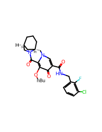 CCCCOc1c2n(cc(C(=O)NCc3cccc(Cl)c3F)c1=O)C[C@]13CCC[C@H](CN1C2=O)C3